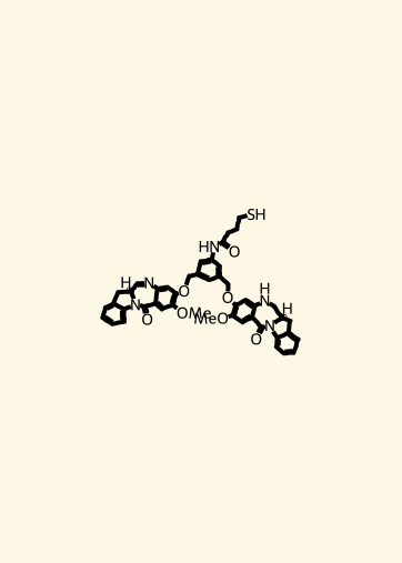 COc1cc2c(cc1OCc1cc(COc3cc4c(cc3OC)C(=O)N3c5ccccc5C[C@H]3CN4)cc(NC(=O)CCCS)c1)N=C[C@@H]1Cc3ccccc3N1C2=O